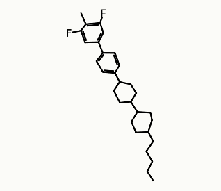 CCCCCC1CCC(C2CCC(c3ccc(-c4cc(F)c(C)c(F)c4)cc3)CC2)CC1